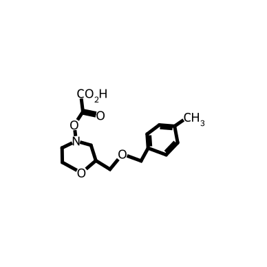 Cc1ccc(COCC2CN(OC(=O)C(=O)O)CCO2)cc1